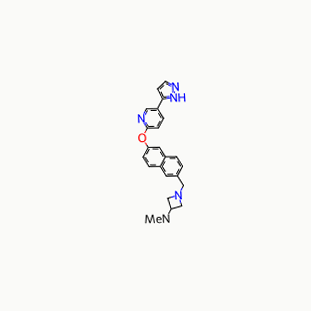 CNC1CN(Cc2ccc3cc(Oc4ccc(-c5ccn[nH]5)cn4)ccc3c2)C1